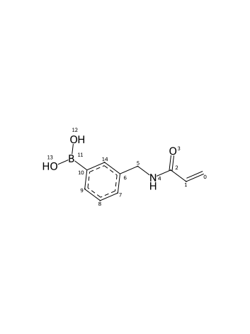 C=CC(=O)NCc1cccc(B(O)O)c1